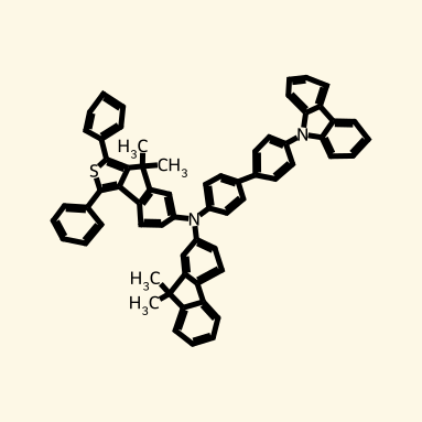 CC1(C)c2ccccc2-c2ccc(N(c3ccc(-c4ccc(-n5c6ccccc6c6ccccc65)cc4)cc3)c3ccc4c(c3)C(C)(C)c3c(-c5ccccc5)sc(-c5ccccc5)c3-4)cc21